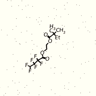 CCC(C)(C)C(=O)OCCOC(=O)C(F)(F)C(F)(F)C(F)F